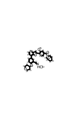 COc1cc(C(=O)N2CC3CCC(C2)O3)cnc1-c1cc2nccc(-c3ccc(OC4CCOCC4)c(C#N)c3)c2o1.Cl